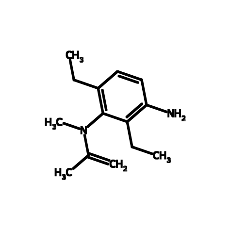 C=C(C)N(C)c1c(CC)ccc(N)c1CC